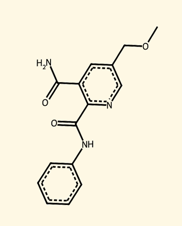 COCc1cnc(C(=O)Nc2ccccc2)c(C(N)=O)c1